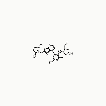 Cc1cc(Cl)cc(-c2ccnc3cc(CN4C(=O)CCC4=O)sc23)c1O[C@@H]1CNC[C@@H]1CF